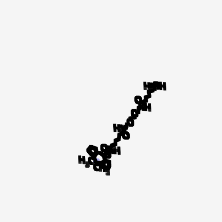 C/C1=C(\C)c2ccccc2C(OC(=O)NCCCCCC(=O)NCCOCCOCCNC(=O)CCCCCNO)Cc2ccccc21